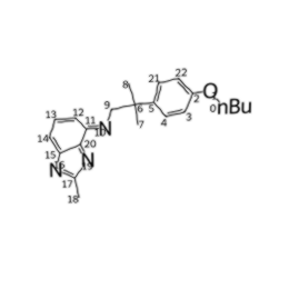 CCCCOc1ccc(C(C)(C)CN=C2C=CC=C3N=C(C)N=C32)cc1